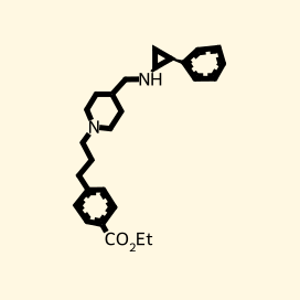 CCOC(=O)c1ccc(CCCN2CCC(CN[C@@H]3C[C@H]3c3ccccc3)CC2)cc1